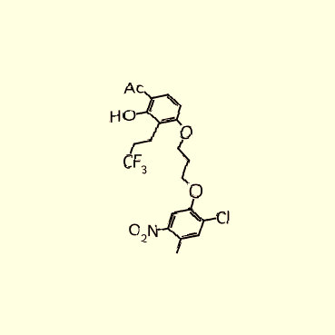 CC(=O)c1ccc(OCCCOc2cc([N+](=O)[O-])c(C)cc2Cl)c(CCC(F)(F)F)c1O